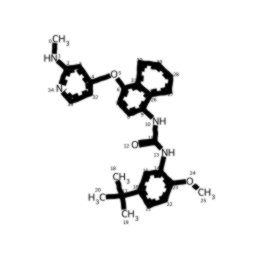 CNc1cc(Oc2ccc(NC(=O)Nc3cc(C(C)(C)C)ccc3OC)c3ccccc23)ccn1